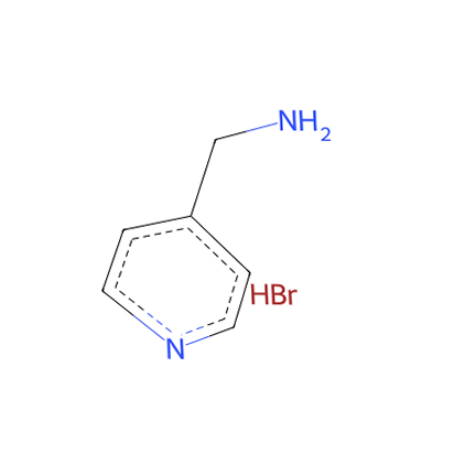 Br.NCc1ccncc1